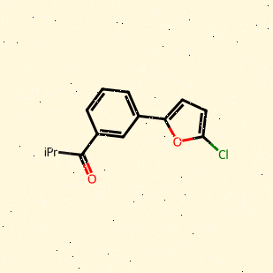 CC(C)C(=O)c1cccc(-c2ccc(Cl)o2)c1